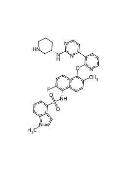 Cc1ccc2c(NS(=O)(=O)c3cccc4c3ccn4C)c(F)ccc2c1Oc1ncccc1-c1ccnc(N[C@H]2CCCNC2)n1